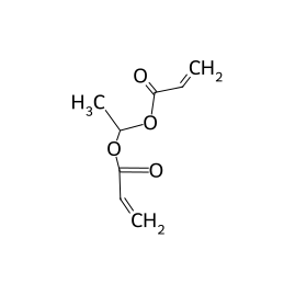 C=CC(=O)OC(C)OC(=O)C=C